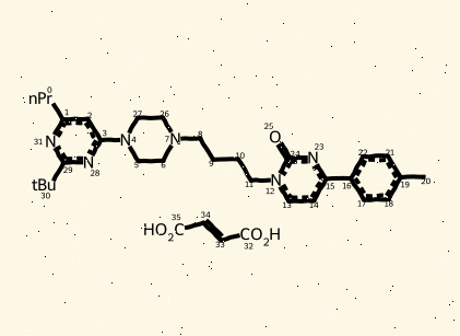 CCCc1cc(N2CCN(CCCCn3ccc(-c4ccc(C)cc4)nc3=O)CC2)nc(C(C)(C)C)n1.O=C(O)/C=C/C(=O)O